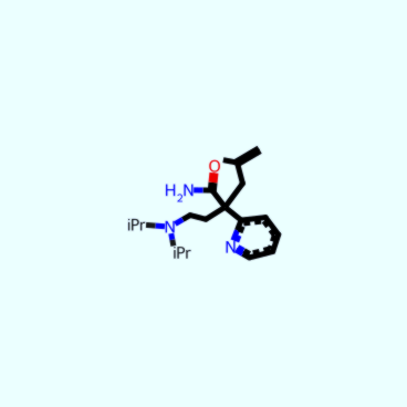 C=C(C)CC(CCN(C(C)C)C(C)C)(C(N)=O)c1ccccn1